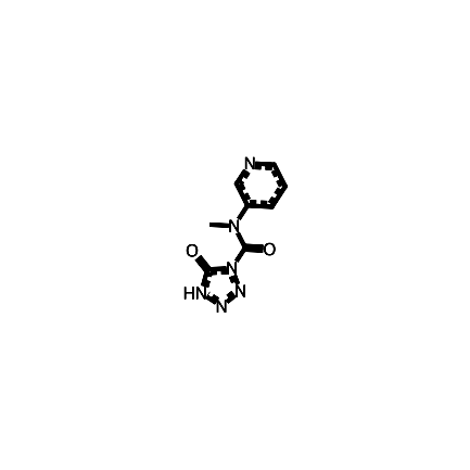 CN(C(=O)n1nn[nH]c1=O)c1cccnc1